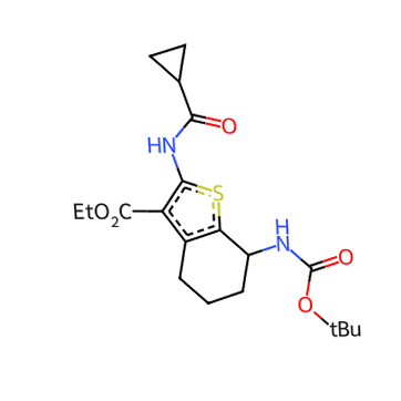 CCOC(=O)c1c(NC(=O)C2CC2)sc2c1CCCC2NC(=O)OC(C)(C)C